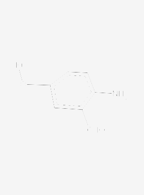 CCOc1ccc(N)c(C=O)c1